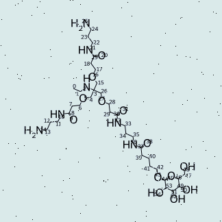 CCNC(COCCC(=O)NCCCN)(COCCC(=O)NCCCN)COCCC(=O)NCCCNC(=O)CCCCO[C@H]1OC(CO)[C@@H](O)C(O)C1O